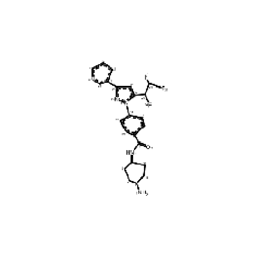 NC1CCC(NC(=O)c2ccc(-n3nc(-c4cccnc4)cc3C(F)C(F)F)cc2)CC1